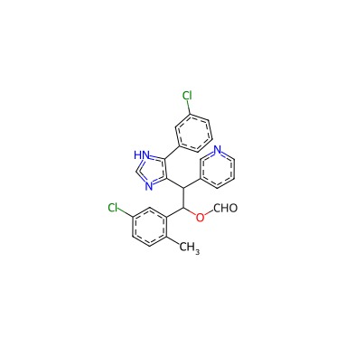 Cc1ccc(Cl)cc1C(OC=O)C(c1cccnc1)c1nc[nH]c1-c1cccc(Cl)c1